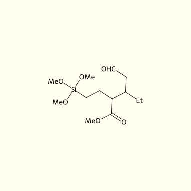 CCC(CC=O)C(CC[Si](OC)(OC)OC)C(=O)OC